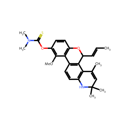 CC=CC1Oc2ccc(OC(=S)N(C)C)c(OC)c2-c2ccc3c(c21)C(C)=CC(C)(C)N3